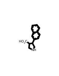 O=C(O)C1CNCC1c1ccc2ccccc2c1